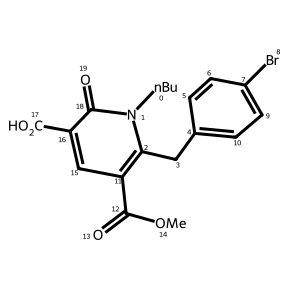 CCCCn1c(Cc2ccc(Br)cc2)c(C(=O)OC)cc(C(=O)O)c1=O